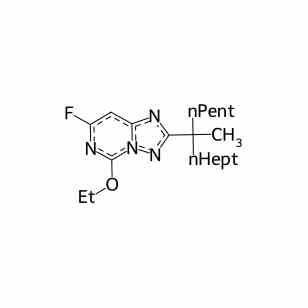 CCCCCCCC(C)(CCCCC)c1nc2cc(F)nc(OCC)n2n1